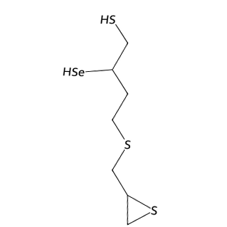 SCC([SeH])CCSCC1CS1